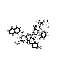 CC(=O)N[C@H](Cc1ccc2ccccc2c1)C(=O)N[C@H](Cc1ccc(Cl)cc1)C(=O)N[C@H](Cc1cccnc1)C(=O)N[C@@H](COC(C)(C)C)C(=O)O